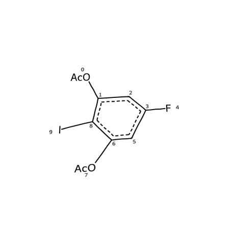 CC(=O)Oc1cc(F)cc(OC(C)=O)c1I